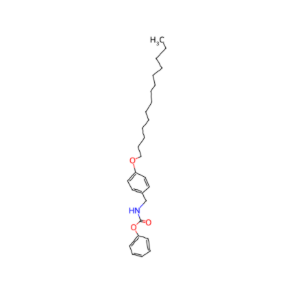 CCCCCCCCCCCCCCOc1ccc(CNC(=O)Oc2ccccc2)cc1